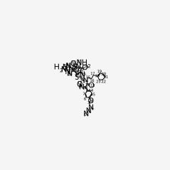 [N-]=[N+]=NCOc1ccc([C@@H](N=O)C(=O)N(CCCC2=CC=CCC2)Cc2nc(C(=O)N(N)S(=O)(=O)N=NN)c(CN=[N+]=[N-])s2)cc1